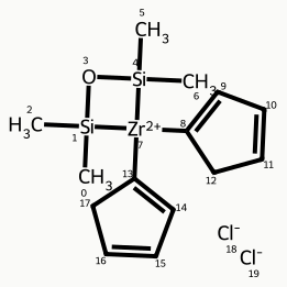 C[Si]1(C)O[Si](C)(C)[Zr+2]1([C]1=CC=CC1)[C]1=CC=CC1.[Cl-].[Cl-]